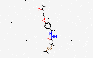 C/C(=N\NC(=O)CC(C)(C)SSC(C)C)c1ccc(OCCCC(=O)C(C)C)cc1